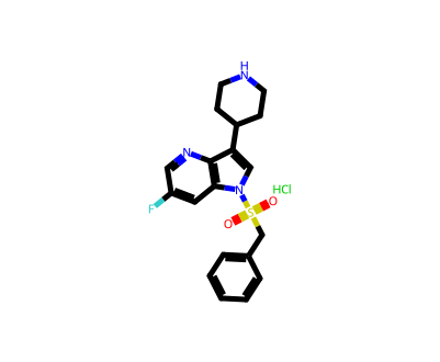 Cl.O=S(=O)(Cc1ccccc1)n1cc(C2CCNCC2)c2ncc(F)cc21